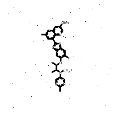 COc1cnc2c(-c3nc4cc(F)c(OC(C)C(C)N(C(=O)O)c5cnc(C)nc5)cc4s3)cc(C)cc2c1